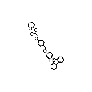 O=C(COc1ccc(COc2ccc([SH]3c4ccccc4-c4ccccc43)cc2)cc1)OC1CCCCO1